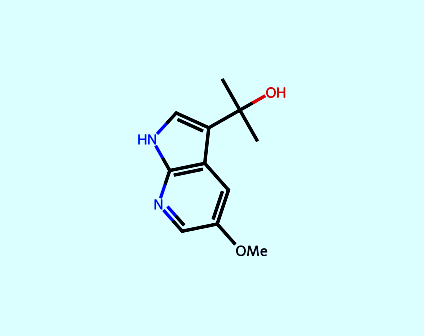 COc1cnc2[nH]cc(C(C)(C)O)c2c1